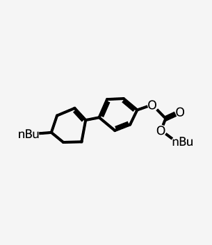 CCCCOC(=O)Oc1ccc(C2=CCC(CCCC)CC2)cc1